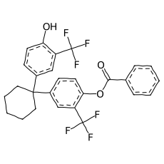 O=C(Oc1ccc(C2(c3ccc(O)c(C(F)(F)F)c3)CCCCC2)cc1C(F)(F)F)c1ccccc1